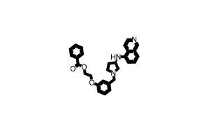 O=C(OCCOc1cccc(CN2CC[C@@H](Nc3cccc4cnccc34)C2)c1)c1ccccc1